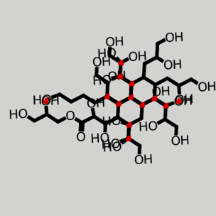 O=C(OCC(O)CO)C(O)C(O)C(CC(O)CO)C(CC(O)CO)C(CC(O)CO)C(CC(O)CO)C(CC(O)CO)C(CC(O)CO)C(CC(O)CO)C(CC(O)CO)C(CCCCCCO)CC(O)CO